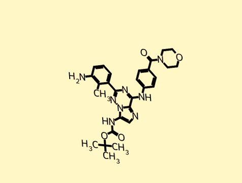 Cc1c(N)cccc1-c1nc(Nc2ccc(C(=O)N3CCOCC3)cc2)c2ncc(NC(=O)OC(C)(C)C)n2n1